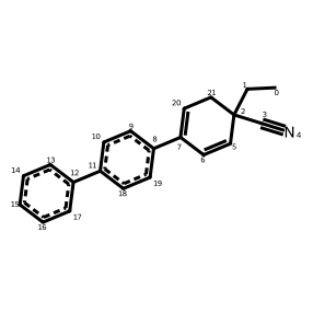 CCC1(C#N)C=CC(c2ccc(-c3ccccc3)cc2)=CC1